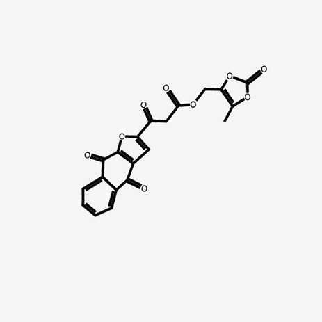 Cc1oc(=O)oc1COC(=O)CC(=O)c1cc2c(o1)C(=O)c1ccccc1C2=O